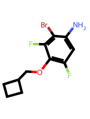 Nc1cc(F)c(OCC2CCC2)c(F)c1Br